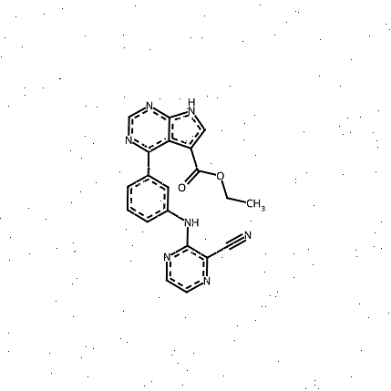 CCOC(=O)c1c[nH]c2ncnc(-c3cccc(Nc4nccnc4C#N)c3)c12